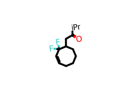 CC(C)C(=O)CC1CCCC/C=C\C1(F)F